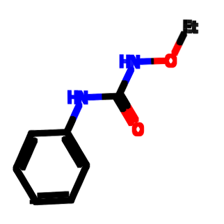 CCONC(=O)Nc1cc[c]cc1